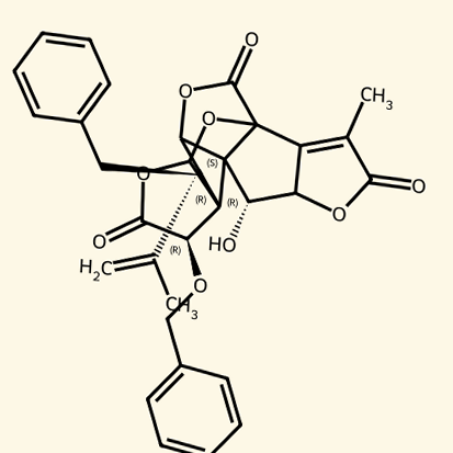 C=C(C)[C@@H]1[C@@H](Cc2ccccc2)C2OC(=O)C34OC5OC(=O)[C@H](OCc6ccccc6)C51C23[C@@H](O)C1OC(=O)C(C)=C14